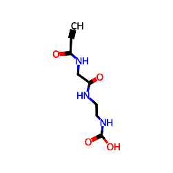 C#CC(=O)NCC(=O)NCCNC(=O)O